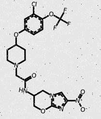 O=C(CN1CCC(Oc2ccc(OC(F)(F)F)c(Cl)c2)CC1)NC1COc2nc([N+](=O)[O-])cn2C1